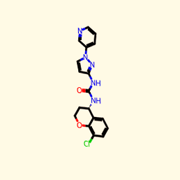 O=C(Nc1ccn(-c2cccnc2)n1)N[C@H]1CCOc2c(Cl)cccc21